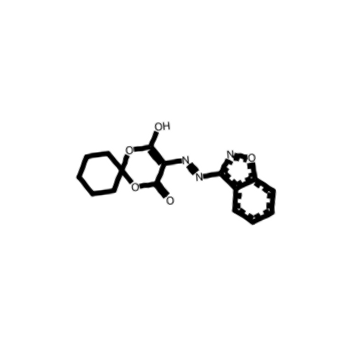 O=C1OC2(CCCCC2)OC(O)=C1N=Nc1noc2ccccc12